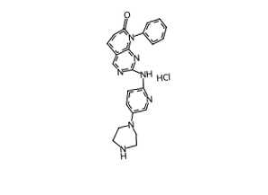 Cl.O=c1ccc2cnc(Nc3ccc(N4CCNCC4)cn3)nc2n1-c1ccccc1